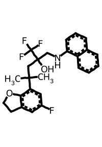 CC(C)(CC(O)(CNc1cccc2ccccc12)C(F)(F)F)c1cc(F)cc2c1OCC2